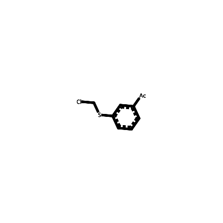 CC(=O)c1cccc(SCCl)c1